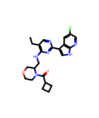 CCc1cnc(-c2c[nH]c3ncc(Cl)cc23)nc1NCC1COCCN1C(=O)C1CCC1